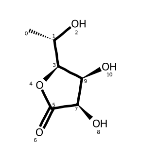 C[C@H](O)[C@@H]1OC(=O)[C@H](O)[C@@H]1O